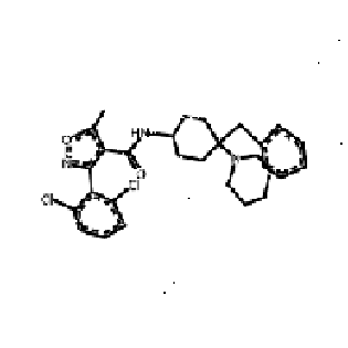 Cc1onc(-c2c(Cl)cccc2Cl)c1C(=O)NC1CCC(Cc2ccccc2)(N2CCCCC2)CC1